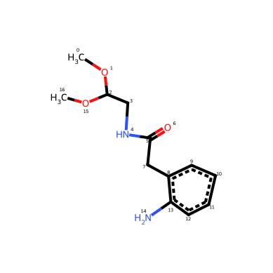 COC(CNC(=O)Cc1ccccc1N)OC